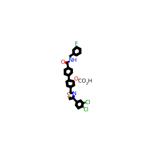 O=C(O)Oc1cc(-c2nc(-c3ccc(Cl)c(Cl)c3)cs2)ccc1-c1ccc(C(=O)NCc2cccc(F)c2)cc1